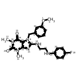 COc1cccc(Cn2c(NCCNc3ccc(F)cc3)nc3c2c(=O)n(C)c(=O)n3C)c1